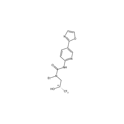 CCN(C[C@@H](O)C(F)(F)F)C(=O)Nc1ccc(-c2ncco2)cn1